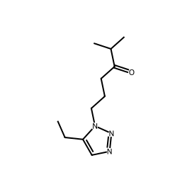 CCc1cnnn1CCCC(=O)C(C)C